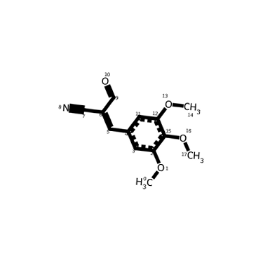 COc1cc(C=C(C#N)C=O)cc(OC)c1OC